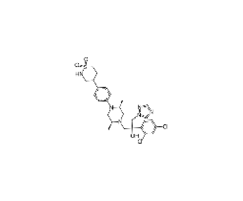 C[C@H]1CN(c2ccc(C3CCS(=O)(=O)NC3)cc2)[C@@H](C)CN1CC(O)(Cn1cncn1)c1ccc(Cl)cc1Cl